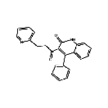 O=C(CCc1ccccn1)c1c(-c2ccccc2)c2ccccc2[nH]c1=O